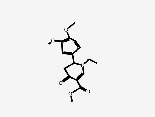 CCN1C=C(C(=O)OC)C(=O)CC1c1ccc(OC)c(OC)c1